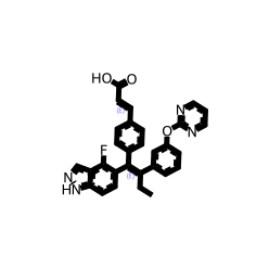 CC/C(=C(/c1ccc(/C=C/C(=O)O)cc1)c1ccc2[nH]ncc2c1F)c1cccc(Oc2ncccn2)c1